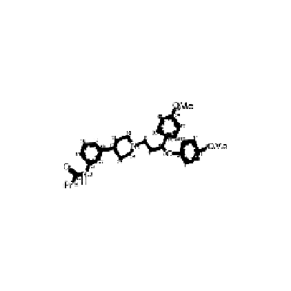 COc1ccc(OC(CCN2CCC(c3cccc(NC(=O)C(C)C)c3)CC2)c2ccc(OC)cc2)cc1